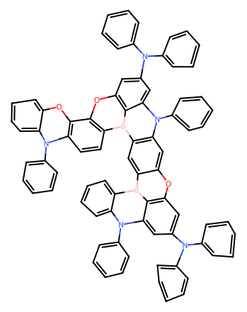 c1ccc(N(c2ccccc2)c2cc3c4c(c2)N(c2ccccc2)c2ccccc2B4c2cc4c(cc2O3)N(c2ccccc2)c2cc(N(c3ccccc3)c3ccccc3)cc3c2B4c2ccc4c(c2O3)Oc2ccccc2N4c2ccccc2)cc1